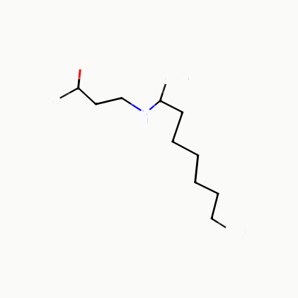 CCOC(=O)CCCCCCC(NCCC(O)C(C)(C)C)C(=O)OCC